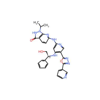 CC(C)n1[nH]c(=O)c2ccc(Nc3cc(N[C@H](CO)c4ccccc4)c(-c4nnc(-c5cccnc5)o4)cn3)nc21